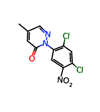 Cc1cnn(-c2cc([N+](=O)[O-])c(Cl)cc2Cl)c(=O)c1